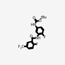 CC(C)(C)OC(=O)Nc1ccc(F)c(NC(=O)c2cc(C(F)(F)F)ccc2F)c1